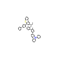 CCC(Cc1ccccc1-c1cc(-c2ccc3c4ccccc4n(-c4ccccc4)c3c2)ccc1C)c1cc(-c2ccc(-c3ccccc3)cc2)c2sc3ccccc3c2c1